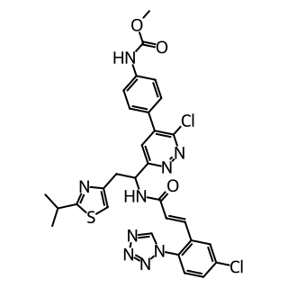 COC(=O)Nc1ccc(-c2cc(C(Cc3csc(C(C)C)n3)NC(=O)C=Cc3cc(Cl)ccc3-n3cnnn3)nnc2Cl)cc1